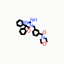 N=C1NC(c2ccccc2)(c2ccccc2)C(=O)N1Cc1cccc(C(=O)N2CCOCC2)c1